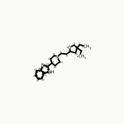 CCC1(CC)COC(CCN2CCC(c3nc4ccccc4[nH]3)CC2)C1